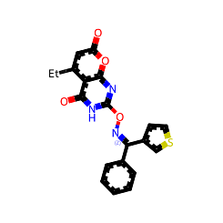 CCc1cc(=O)oc2nc(O/N=C(/c3ccccc3)c3ccsc3)[nH]c(=O)c12